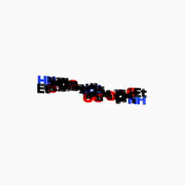 CCOC(=N)c1ccc(OCCCN2CCN(CCCOc3ccc(C(=N)OCC)cc3)C(=O)C2=O)cc1